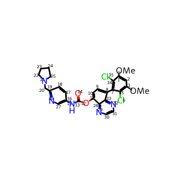 COc1cc(OC)c(Cl)c(-c2ccc(OC(=O)Nc3ccc(CN4CCCC4)nc3)c3nccnc23)c1Cl